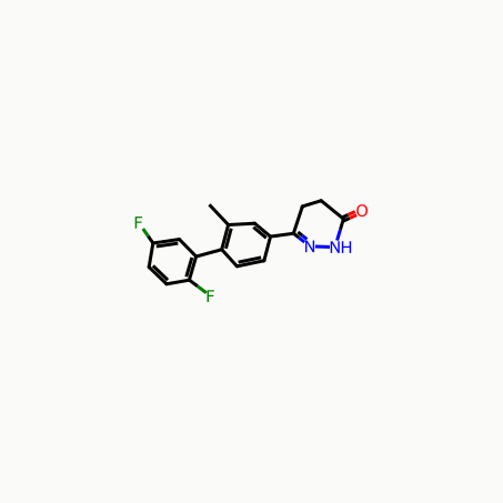 Cc1cc(C2=NNC(=O)CC2)ccc1-c1cc(F)ccc1F